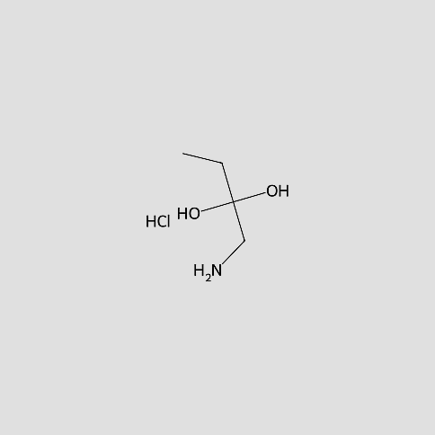 CCC(O)(O)CN.Cl